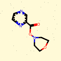 O=C(ON1CCOCC1)c1cnccn1